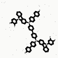 Fc1ccc(-c2ccc(N(c3ccc(-c4ccc(N(c5ccc(-c6ccc(F)cc6)cc5)c5ccc6c(c5)c5ccccc5n6-c5ccc(F)c(F)c5)cc4)cc3)c3ccc4c(c3)c3ccccc3n4-c3ccc(F)c(F)c3)cc2)cc1